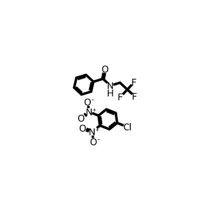 O=C(NCC(F)(F)F)c1ccccc1.O=[N+]([O-])c1ccc(Cl)cc1[N+](=O)[O-]